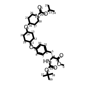 COC(=O)[C@@H](Cc1ccc(OC2CCC(OC3CCN(C(=O)OC(C)C)CC3)CC2)cc1)NC(=O)OC(C)(C)C